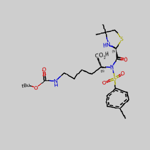 Cc1ccc(S(=O)(=O)N(C(=O)[C@H]2NC(C)(C)CS2)[C@@H](CCCCNC(=O)OC(C)(C)C)C(=O)O)cc1